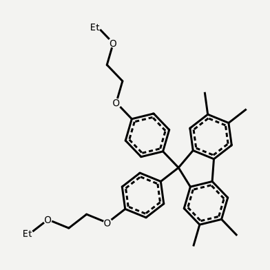 CCOCCOc1ccc(C2(c3ccc(OCCOCC)cc3)c3cc(C)c(C)cc3-c3cc(C)c(C)cc32)cc1